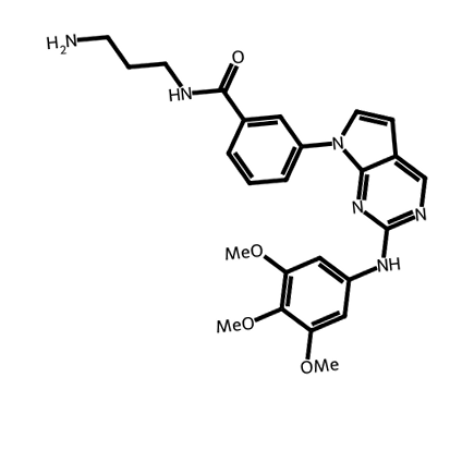 COc1cc(Nc2ncc3ccn(-c4cccc(C(=O)NCCCN)c4)c3n2)cc(OC)c1OC